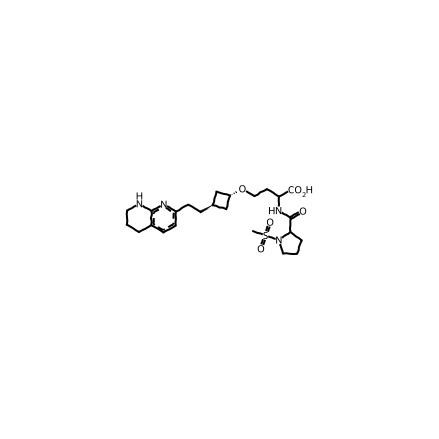 CS(=O)(=O)N1CCCC1C(=O)NC(CCO[C@H]1C[C@H](CCc2ccc3c(n2)NCCC3)C1)C(=O)O